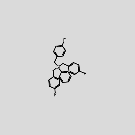 Fc1ccc(C[Si](Cc2ccc(F)cc2)(Cc2ccc(F)cc2)c2ccccc2)cc1